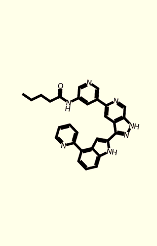 CCCCC(=O)Nc1cncc(-c2cc3c(-c4cc5c(-c6ccccn6)cccc5[nH]4)n[nH]c3cn2)c1